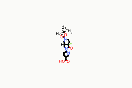 CC(C)(C)OC(=O)N1CC[C@]2(F)C(=O)N(c3ccc(C(=O)O)cn3)C[C@@H]2C1